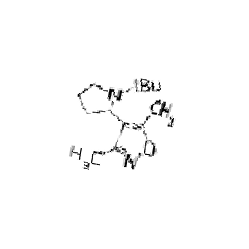 Cc1noc(C)c1C1CCCN1C(C)(C)C